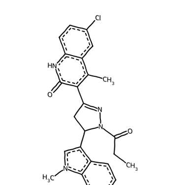 CCC(=O)N1N=C(c2c(C)c3cc(Cl)ccc3[nH]c2=O)CC1c1cn(C)c2ccccc12